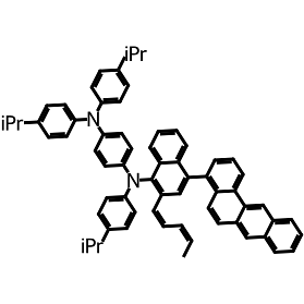 C/C=C\C=C/c1cc(-c2cccc3c2ccc2cc4ccccc4cc23)c2ccccc2c1N(c1ccc(C(C)C)cc1)c1ccc(N(c2ccc(C(C)C)cc2)c2ccc(C(C)C)cc2)cc1